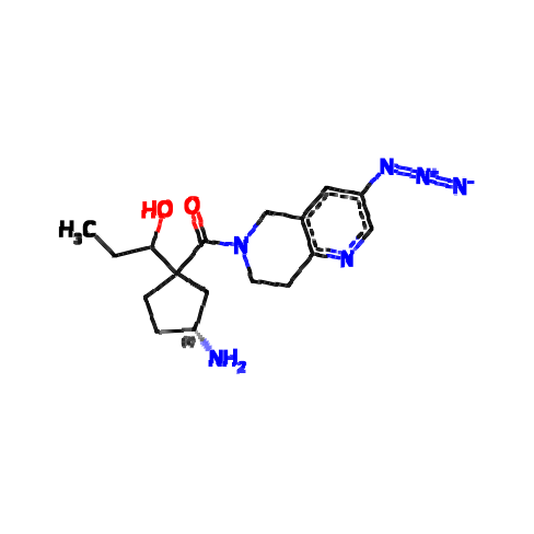 CCC(O)C1(C(=O)N2CCc3ncc(N=[N+]=[N-])cc3C2)CC[C@@H](N)C1